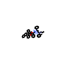 C=C/C=C(/c1cc(-c2ccccc2)nc(-c2ccc(-c3cccc4c3C(c3ccccc3)(c3ccccc3)c3ccc5ccccc5c3-4)c3ccccc23)n1)c1ccccc1C